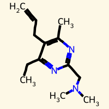 C=CCc1c(C)nc(CN(C)C)nc1CC